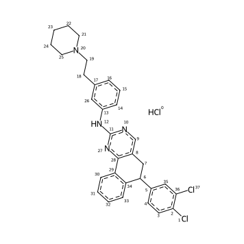 Cl.Clc1ccc(C2Cc3cnc(Nc4cccc(CCN5CCCCC5)c4)nc3-c3ccccc32)cc1Cl